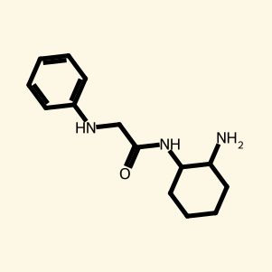 NC1CCCCC1NC(=O)CNc1ccccc1